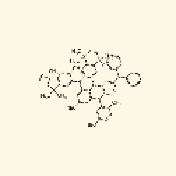 Cc1ccc(C(C)(C)C)cc1N1c2ccc(N(c3ccccc3)c3ccccc3)cc2B2c3cc4c(cc3N(c3cc5c(cc3C)C(C)(C)CC5(C)C)c3cc(C(C)(C)C)cc1c32)C(C)(C)CCC4(C)C